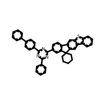 c1ccc(-c2ccc(-c3nc(-c4ccccc4)nc(-c4ccc5c(c4)C4(CCCCC4)c4cc6c(cc4-5)sc4ccccc46)n3)cc2)cc1